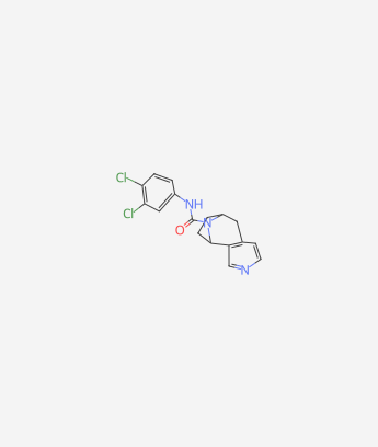 O=C(Nc1ccc(Cl)c(Cl)c1)N1C2CCC1c1cnccc1C2